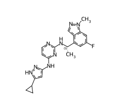 C[C@H](Nc1nccc(Nc2cc(C3CC3)[nH]n2)n1)c1cc(F)cc2c1cnn2C